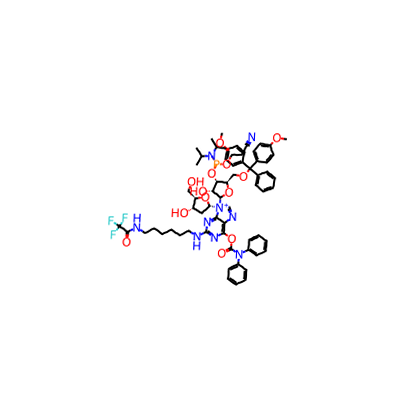 COc1ccc(C(OC[C@H]2O[C@@H]([N+]3([C@@H]4C[C@H](O)[C@@H](CO)O4)C=Nc4c(OC(=O)N(c5ccccc5)c5ccccc5)nc(NCCCCCCNC(=O)C(F)(F)F)nc43)[C@H](O)[C@@H]2OP(OCCC#N)N(C(C)C)C(C)C)(c2ccccc2)c2ccc(OC)cc2)cc1